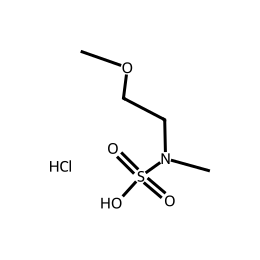 COCCN(C)S(=O)(=O)O.Cl